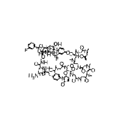 C=C(O)CN(C)C(=O)CN(C)C(=O)CN(C)C(=O)CN(C)C(=O)CN(C)C(=O)CN(C)C(=O)CN(C)C(=O)CN(C)C(=O)CN(C)C(=O)CN(C)C(=O)c1cc(N2C(=O)C=CC2=O)ccc1CCC(=O)N[C@H](CC(N)=O)C(=O)NCOCC(=O)[C@@]12O[C@H](c3cccc(F)c3)O[C@@H]1C[C@H]1[C@@H]3C[C@H](F)C4=CC(=O)C=C[C@]4(C)[C@@]3(F)[C@@H](O)C[C@@]12C